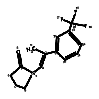 CC(=CN1CCCC1=O)c1cccc(C(F)(F)F)c1